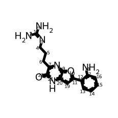 NC(N)=NCCCc1nc2oc(-c3ccccc3N)cc2[nH]c1=O